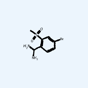 CS(=O)(=O)c1cc(Br)ccc1C(N)N